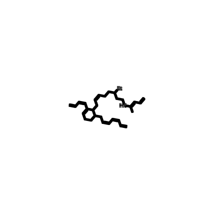 C=C/C=C\C=C/CC1CCC=C(/C=C\C=C)C1C/C=C\CCC(CC)CCN/C(C)=C/C=C